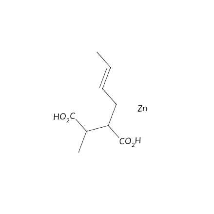 CC=CCC(C(=O)O)C(C)C(=O)O.[Zn]